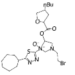 CCCCC1COC(C(=O)OC2CN(CCBr)C[N+]2([O-])c2nnc(C3CCCCCC3)s2)C1